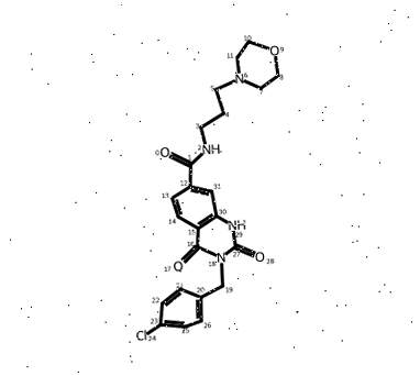 O=C(NCCCN1CCOCC1)c1ccc2c(=O)n(Cc3ccc(Cl)cc3)c(=O)[nH]c2c1